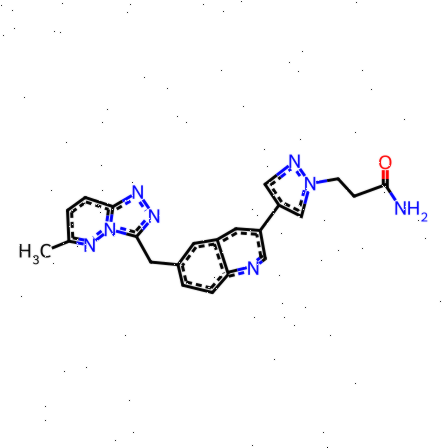 Cc1ccc2nnc(Cc3ccc4ncc(-c5cnn(CCC(N)=O)c5)cc4c3)n2n1